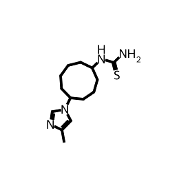 Cc1cn(C2CCCCC(NC(N)=S)CCC2)cn1